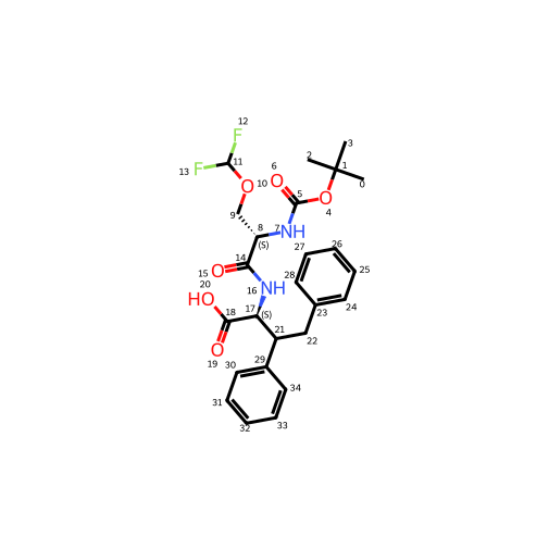 CC(C)(C)OC(=O)N[C@@H](COC(F)F)C(=O)N[C@H](C(=O)O)C(Cc1ccccc1)c1ccccc1